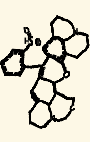 O=[SH](=O)c1ccccc1C1=C2C=C3CCCN4CCCC(=C2Oc2c1cc1c5c2CCCN5CCC1)C34